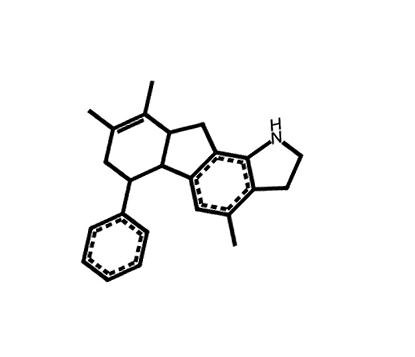 CC1=C(C)C2Cc3c(cc(C)c4c3NCC4)C2C(c2ccccc2)C1